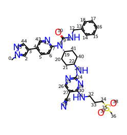 Cn1cc(-c2ccc(N(C(=O)NCc3ccccc3)[C@H]3CC[C@H](Nc4ncc(C#N)c(NCCCS(C)(=O)=O)n4)CC3)nc2)cn1